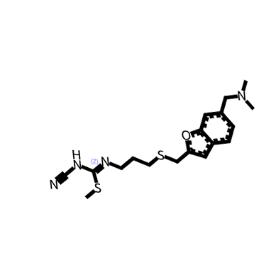 CS/C(=N\CCCSCc1cc2ccc(CN(C)C)cc2o1)NC#N